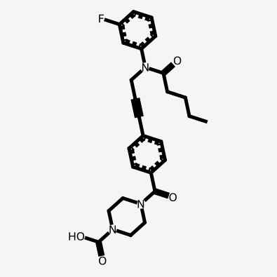 CCCCC(=O)N(CC#Cc1ccc(C(=O)N2CCN(C(=O)O)CC2)cc1)c1cccc(F)c1